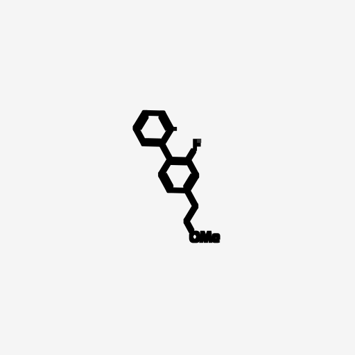 COCCc1ccc(-c2[c]cccc2)c(F)c1